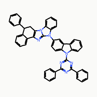 c1ccc(-c2nc(-c3ccccc3)nc(-n3c4ccccc4c4cc(-n5c6ccccc6n6c7c(nc56)-c5ccccc5C(c5ccccc5)C7)ccc43)n2)cc1